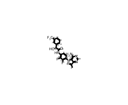 Cc1nn(-c2ccc(NC(=O)[C@H](O)c3cccc(C(F)(F)F)c3)c(F)c2F)c2c(N)ncnc12